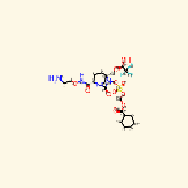 NCCONC(=O)[C@@H]1CC[C@@H]2CN1C(=O)N2OS(=O)(=O)OCOC(=O)C1CCCCC1.O=C(O)C(F)(F)F